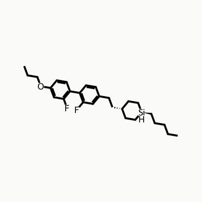 CCCCC[Si@H]1CC[C@H](CCc2ccc(-c3ccc(OCCC)cc3F)c(F)c2)CC1